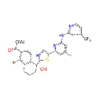 COC(=O)c1ccc2c(c1Br)CCC[C@]2(O)c1ncc(-c2cc(C)cc(Nc3cc(C(F)(F)F)ccn3)n2)s1